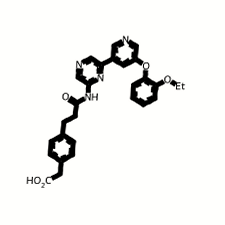 CCOc1ccccc1Oc1cncc(-c2cncc(NC(=O)CCc3ccc(CC(=O)O)cc3)n2)c1